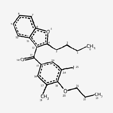 CCCCc1oc2ccccc2c1C(=O)c1cc(C)c(OCCC)c(I)c1